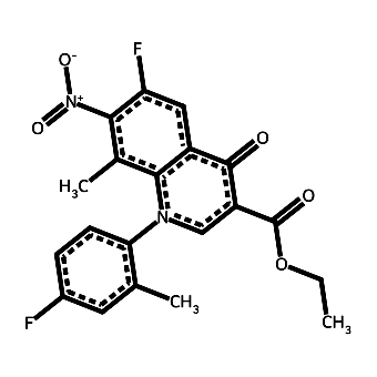 CCOC(=O)c1cn(-c2ccc(F)cc2C)c2c(C)c([N+](=O)[O-])c(F)cc2c1=O